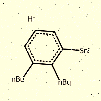 CCCCc1ccc[c]([Sn])c1CCCC.[H-]